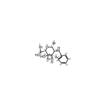 CC(=O)C(O)[C@H]1O[C@H](Br)[C@@H](Nc2ccccc2)[C@](O)(C(C)=O)[C@@]1(O)C(C)=O